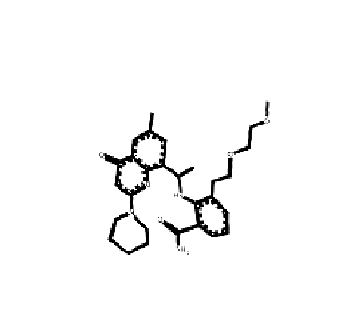 COCCOCCc1cccc(C(N)=O)c1NC(C)c1cc(C)cc2c(=O)cc(N3CCCCC3)oc12